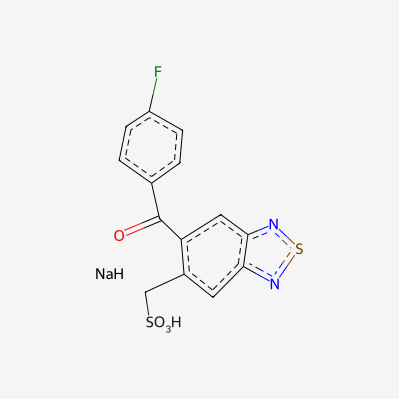 O=C(c1ccc(F)cc1)c1cc2nsnc2cc1CS(=O)(=O)O.[NaH]